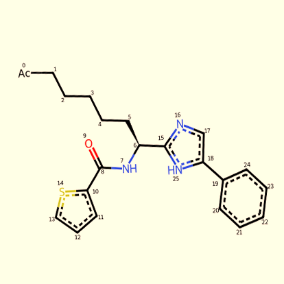 CC(=O)CCCCC[C@H](NC(=O)c1cccs1)c1ncc(-c2ccccc2)[nH]1